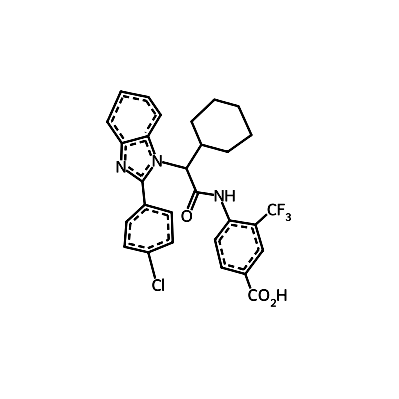 O=C(O)c1ccc(NC(=O)C(C2CCCCC2)n2c(-c3ccc(Cl)cc3)nc3ccccc32)c(C(F)(F)F)c1